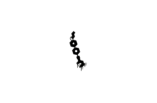 CCCOc1ccc([C@H]2CC[C@H](C#Cc3cnc(F)c(F)c3)CC2)cc1